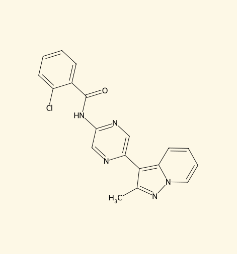 Cc1nn2ccccc2c1-c1cnc(NC(=O)c2ccccc2Cl)cn1